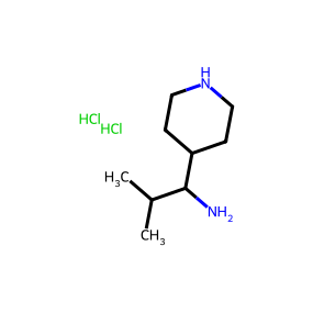 CC(C)C(N)C1CCNCC1.Cl.Cl